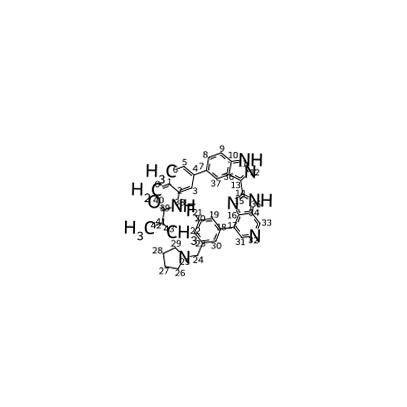 C=C/C(=C\C(=C/C)c1ccc2[nH]nc(-c3nc4c(-c5cc(F)cc(CN6CCCC6)c5)cncc4[nH]3)c2c1)NC(=O)C(C)C